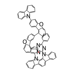 c1ccc(-c2nc(-c3cccc4oc5ccc(-c6cccc7oc8cc(-n9c%10ccccc%10c%10ccccc%109)ccc8c67)cc5c34)nc(-n3c4ccccc4c4ccc5c6ccccc6n(-c6ccccc6)c5c43)n2)cc1